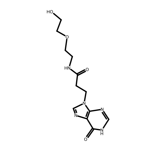 O=C(CCn1cnc2c(=O)[nH]cnc21)NCCOCCO